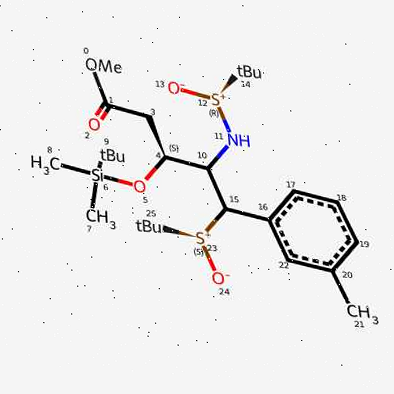 COC(=O)C[C@H](O[Si](C)(C)C(C)(C)C)C(N[S@@+]([O-])C(C)(C)C)C(c1cccc(C)c1)[S@@+]([O-])C(C)(C)C